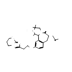 CC(C)C1c2cc(OCCc3cn4c(n3)NCCC4)ccc2C[C@@H](CC(=O)O)C(=O)N1CC(F)(F)F